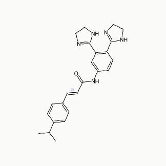 CC(C)c1ccc(/C=C/C(=O)Nc2ccc(C3=NCCN3)c(C3=NCCN3)c2)cc1